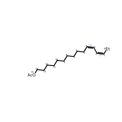 CC/C=C\C=C/CCCCCCCCCCOC(C)=O